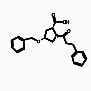 O=C(O)[C@@H]1C[C@@H](OCc2ccccc2)CN1C(=O)CCc1ccccc1